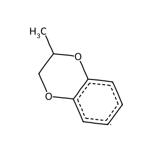 CC1COc2c[c]ccc2O1